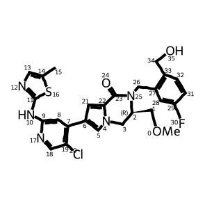 COC[C@H]1Cn2cc(-c3cc(Nc4ncc(C)s4)ncc3Cl)cc2C(=O)N1Cc1cc(F)ccc1CO